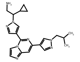 CC(C)Cn1cc(-c2cc3nccn3c(-c3cnn(C(CN)C4CC4)c3)n2)cn1